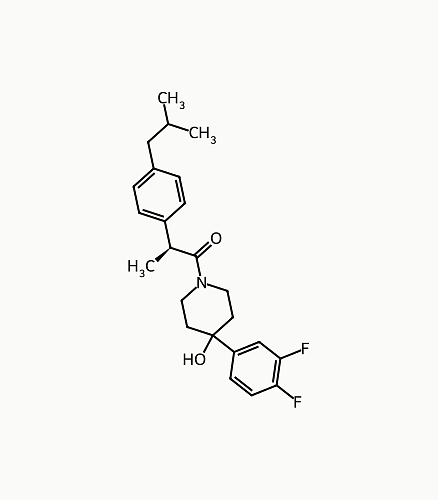 CC(C)Cc1ccc([C@H](C)C(=O)N2CCC(O)(c3ccc(F)c(F)c3)CC2)cc1